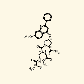 COc1ccc2c(O[C@@H]3C[C@@H](C(N)=O)N(C(=O)[C@H](CNC(=O)[C@@H](C)Br)NC(=O)OC(C)(C)C)C3)cc(-c3ccccc3)nc2c1